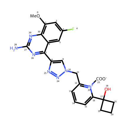 COc1cc(F)cc2c(-c3cn(Cc4cccc(C5(O)CCC5)[n+]4C(=O)[O-])nn3)nc(N)nc12